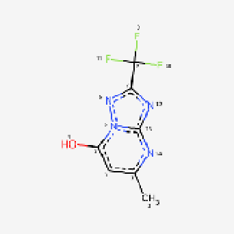 Cc1cc(O)n2nc(C(F)(F)F)nc2n1